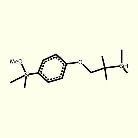 CO[Si](C)(C)c1ccc(OCC(C)(C)[SiH](C)C)cc1